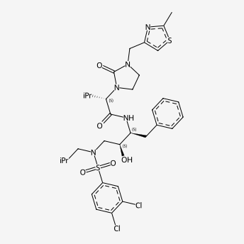 Cc1nc(CN2CCN([C@H](C(=O)N[C@@H](Cc3ccccc3)[C@@H](O)CN(CC(C)C)S(=O)(=O)c3ccc(Cl)c(Cl)c3)C(C)C)C2=O)cs1